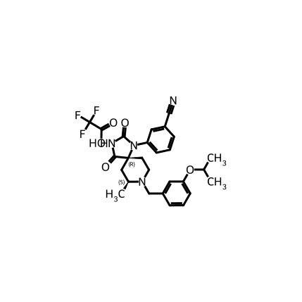 CC(C)Oc1cccc(CN2CC[C@@]3(C[C@@H]2C)C(=O)NC(=O)N3c2cccc(C#N)c2)c1.O=C(O)C(F)(F)F